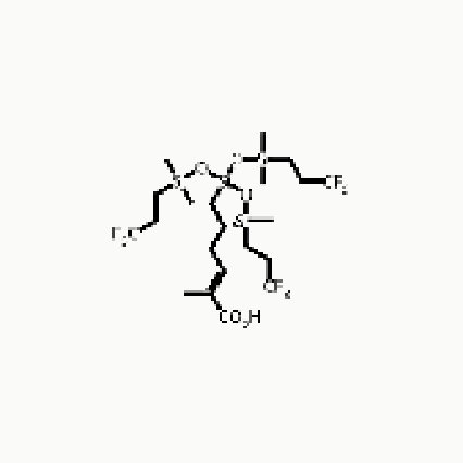 CC(=CCCC[Si](O[Si](C)(C)CCC(F)(F)F)(O[Si](C)(C)CCC(F)(F)F)O[Si](C)(C)CCC(F)(F)F)C(=O)O